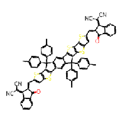 Cc1ccc(C2(c3ccc(C)cc3)c3cc4c(cc3-c3sc5cc(/C=C6\C(=O)c7ccccc7C6=C(C#N)C#N)sc5c32)C(c2ccc(C)cc2)(c2ccc(C)cc2)c2c-4sc3c2sc2cc(/C=C4\C(=O)c5ccccc5C4=C(C#N)C#N)sc23)cc1